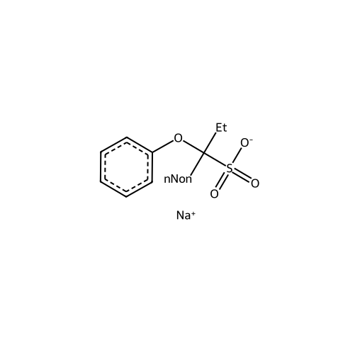 CCCCCCCCCC(CC)(Oc1ccccc1)S(=O)(=O)[O-].[Na+]